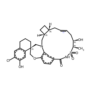 C[C@@H]1[C@H](O)C/C=C/C[C@H]2CC[C@H]2CN2C[C@@]3(CCCc4cc(Cl)c(O)cc43)COc3ccc(cc32)C(=O)NS1(=O)=O